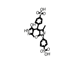 CC1=NN(c2ccc(S(=O)(=O)O)cc2)C(=O)C1=C(c1ccc(S(=O)(=O)O)cc1)c1c(C)n[nH]c1O